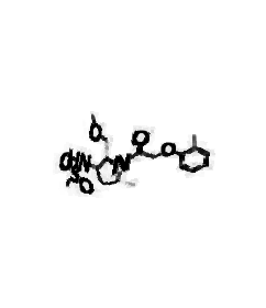 COC[C@H]1C(NS(C)(=O)=O)C[C@@H](C)N1C(=O)COc1ccccc1C